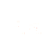 O=C(O)CC(C(=O)OC1O[C@H](CO)[C@@H](O)[C@H](O)[C@H]1O)S(=O)(=O)O